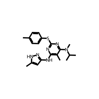 Cc1ccc(Sc2nc(Nc3cc(C)[nH]n3)c(C)c(N(C)C(C)C)n2)cc1